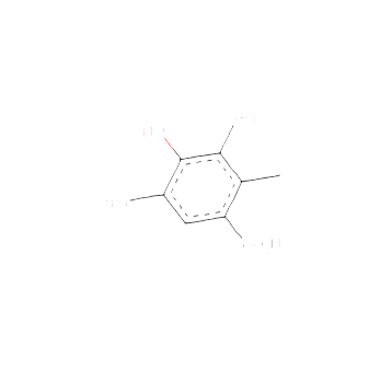 Cc1c(C(=O)O)cc(C(C)(C)C)c(O)c1C(C)(C)C